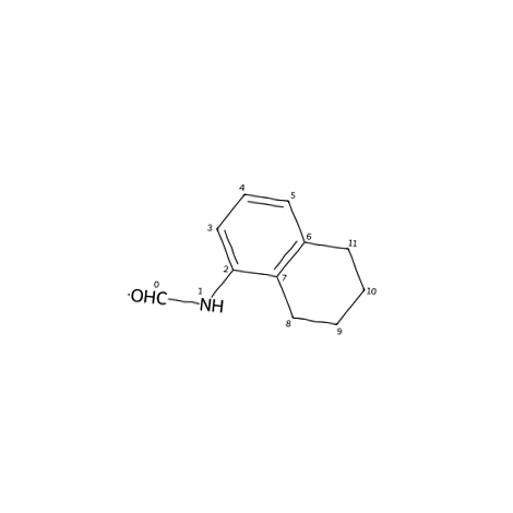 O=[C]Nc1cccc2c1CCCC2